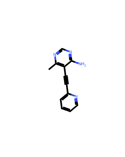 Cc1ncnc(N)c1C#Cc1ccccn1